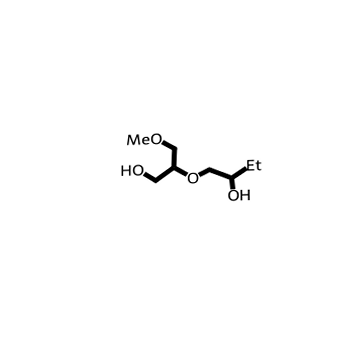 CCC(O)COC(CO)COC